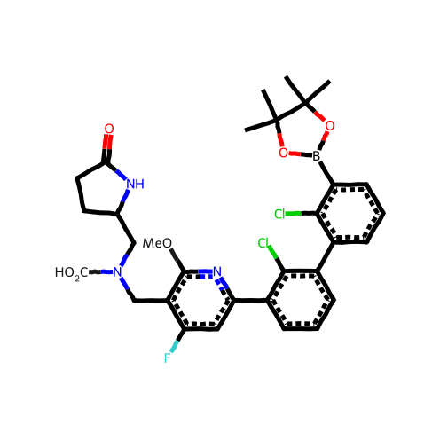 COc1nc(-c2cccc(-c3cccc(B4OC(C)(C)C(C)(C)O4)c3Cl)c2Cl)cc(F)c1CN(CC1CCC(=O)N1)C(=O)O